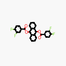 O=C(Oc1c2ccccc2c(OC(=O)c2ccc(F)c(F)c2)c2ccccc12)c1ccc(F)c(F)c1